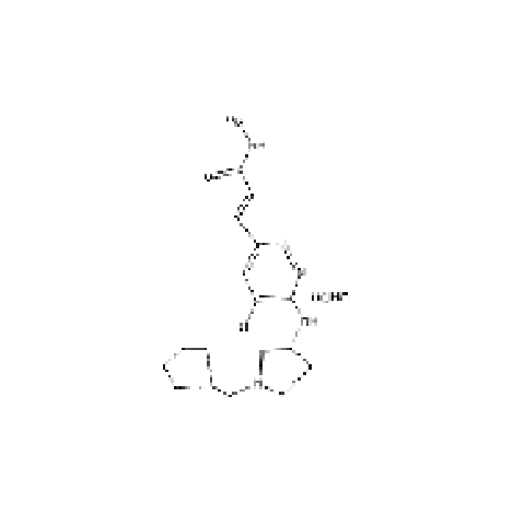 Cl.Cl.O=C(C=Cc1cnc(N[C@@H]2CCN(CC3CCCC3)C2)c(Cl)c1)NO